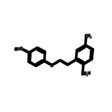 Cc1ccc(S(=O)(=O)O)c(CCOc2ccc(C=O)cc2)c1